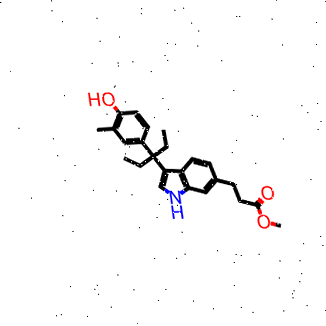 CCC(CC)(c1ccc(O)c(C)c1)c1c[nH]c2cc(CCC(=O)OC)ccc12